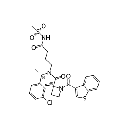 C[C@@H](c1cccc(Cl)c1)N(CCCC(=O)NS(C)(=O)=O)C(=O)[C@@]1(C)CCN1C(=O)c1csc2ccccc12